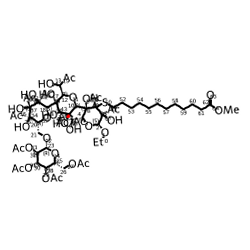 CCO[C@H]1O[C@H](C(O)C(C)=O)[C@](O)([C@@H]2O[C@H](C(O)C(C)=O)[C@](O)([C@@H]3O[C@H](CO[C@@H]4O[C@H](COC(C)=O)[C@@H](OC(C)=O)[C@H](OC(C)=O)[C@H]4OC(C)=O)[C@](O)(C(C)=O)[C@@](O)(C(C)=O)[C@]3(O)C(C)=O)[C@@](O)(C(C)=O)[C@]2(O)C(C)=O)[C@@](SCCCCCCCCCCCC(=O)OC)(C(C)=O)[C@]1(O)C(C)=O